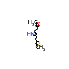 Cc1cc(CCc2cc(CCc3csc(C)c3)c[nH]2)co1